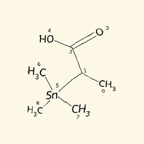 C[CH](C(=O)O)[Sn]([CH3])([CH3])[CH3]